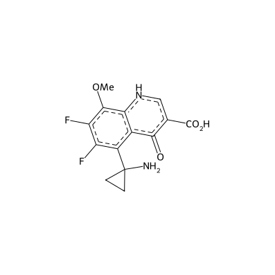 COc1c(F)c(F)c(C2(N)CC2)c2c(=O)c(C(=O)O)c[nH]c12